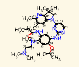 C=CC(=O)Nc1cc(Nc2nccc(N3CC(C)(C)c4nc(C)c(C)cc43)n2)c(OC(C)C)cc1N(C)CCN(C)C